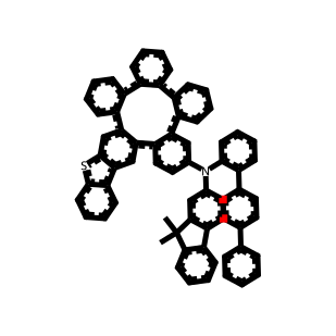 CC1(C)c2ccccc2-c2ccc(N(c3ccc4c(c3)c3ccccc3c3ccccc3c3ccccc3c3cc5sc6ccccc6c5cc43)c3ccccc3-c3ccc(-c4ccccc4)cc3)cc21